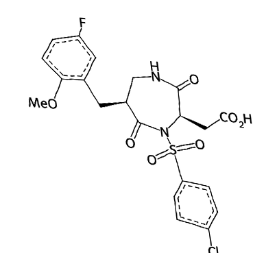 COc1ccc(F)cc1C[C@H]1CNC(=O)[C@@H](CC(=O)O)N(S(=O)(=O)c2ccc(Cl)cc2)C1=O